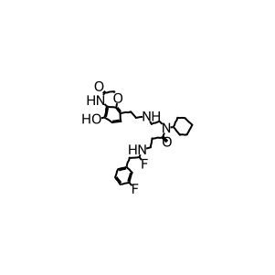 O=C1COc2c(CCNCCN(C(=O)CCNC(F)Cc3cccc(F)c3)C3CCCCC3)ccc(O)c2N1